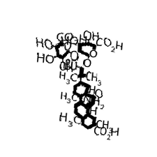 CCCC[C@H](O[C@H]1O[C@H](C(=O)O)[C@@H](O)[C@H](O)[C@H]1O[C@@H]1O[C@H](C(=O)O)[C@@H](O)[C@H](O)[C@H]1O)C(C)(C)[C@@H]1CC[C@]2(C)[C@@H](C1)C(=O)C=C1[C@@H]3C[C@@](C)(C(=O)O)CC[C@]3(C)CC[C@]12N